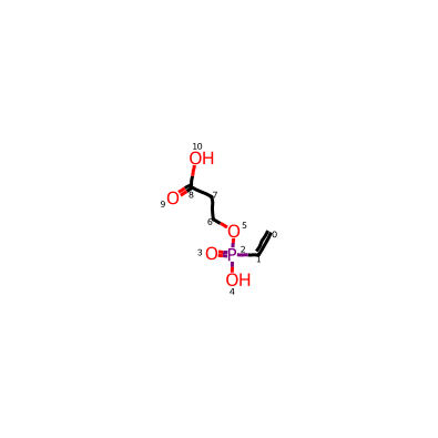 C=CP(=O)(O)OCCC(=O)O